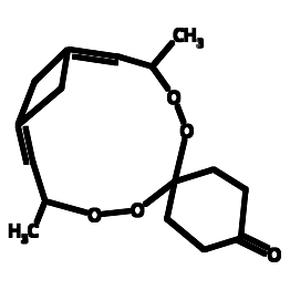 CC1C=C2CC(=CC(C)OOC3(CCC(=O)CC3)OO1)C2